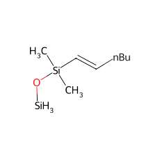 CCCCC=C[Si](C)(C)O[SiH3]